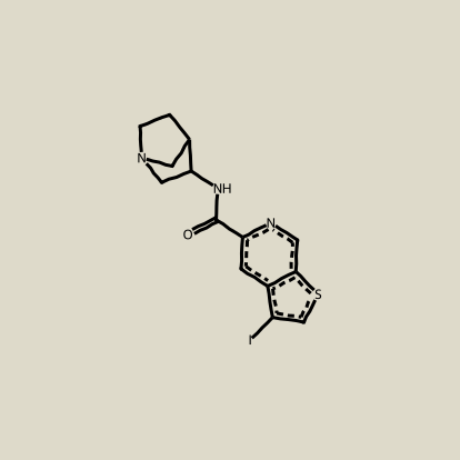 O=C(NC1CN2CCC1C2)c1cc2c(I)csc2cn1